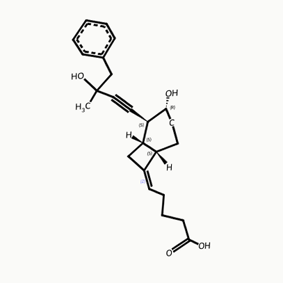 CC(O)(C#C[C@@H]1[C@H]2C/C(=C/CCCC(=O)O)[C@H]2CC[C@H]1O)Cc1ccccc1